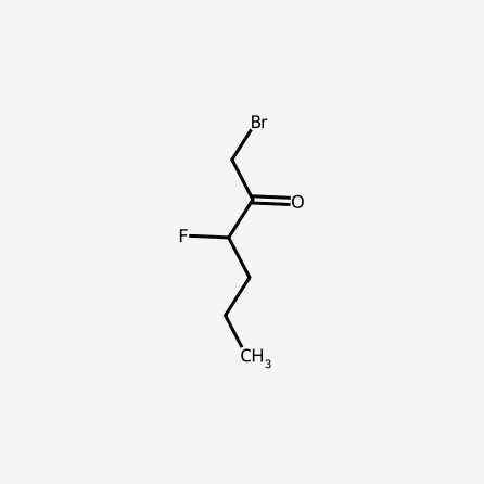 CCCC(F)C(=O)CBr